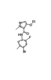 [CH2]COc1cnn(C)c1C(=O)Nc1cc(C)c(Br)cc1F